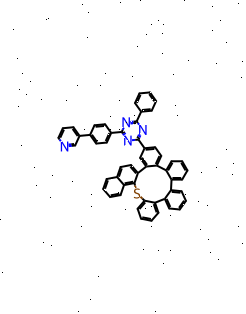 c1ccc(-c2nc(-c3ccc(-c4cccnc4)cc3)nc(-c3ccc4c(c3)-c3ccc5ccccc5c3Sc3ccccc3-c3ccccc3-c3ccccc3-4)n2)cc1